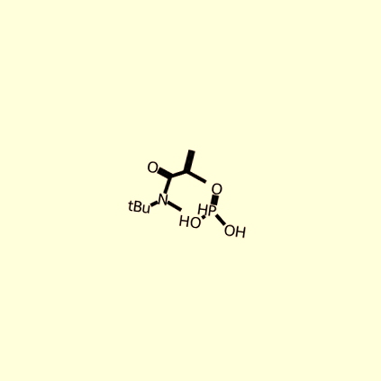 C=C(C)C(=O)N(C)C(C)(C)C.O=[PH](O)O